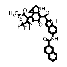 COC(=O)c1c(C(F)(F)F)[nH]c2c1C13CC1CNC3=C(C(=O)c1cc3cc(NC(=O)c4ccc5ccccc5c4)ccc3[nH]1)C2=O